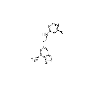 Cc1cc(CCNc2cc(Cl)ncn2)cc2ccsc12